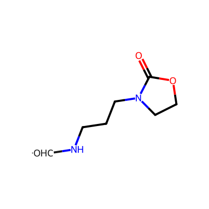 O=[C]NCCCN1CCOC1=O